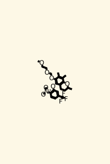 COCCOCOc1c(C)c(C)c2c(c1Oc1cc(C(F)(F)F)ccc1[N+](=O)[O-])CCC(C)O2